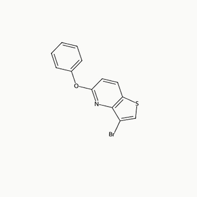 Brc1csc2ccc(Oc3ccccc3)nc12